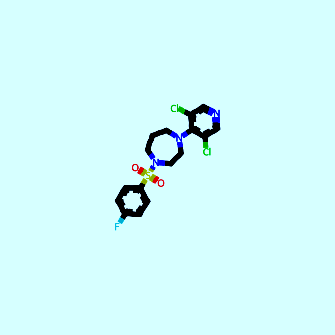 O=S(=O)(c1ccc(F)cc1)N1CCCN(c2c(Cl)cncc2Cl)CC1